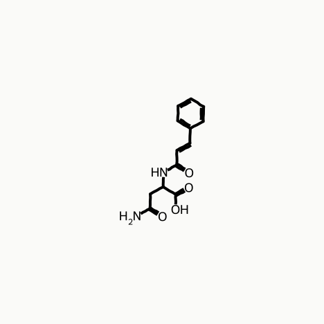 NC(=O)CC(NC(=O)/C=C/c1ccccc1)C(=O)O